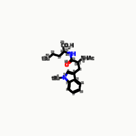 CC(=O)N[C@@H](Cc1cn(C(C)(C)C)c2ccccc12)C(=O)N[C@@H](CCC(C)(C)C)C(=O)O